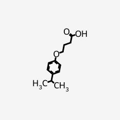 CC(C)c1ccc(OCCCC(=O)O)cc1